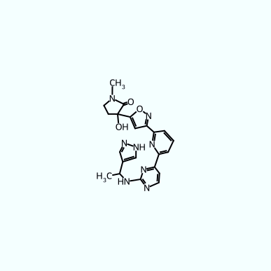 CC(Nc1nccc(-c2cccc(-c3cc(C4(O)CCN(C)C4=O)on3)n2)n1)c1cn[nH]c1